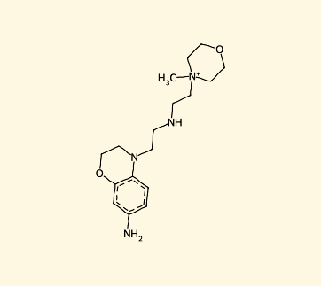 C[N+]1(CCNCCN2CCOc3cc(N)ccc32)CCOCC1